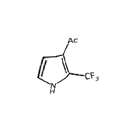 CC(=O)c1cc[nH]c1C(F)(F)F